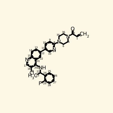 C=CC(=O)N1CCN(c2ccc(-c3ccc4ncc(Cl)c(NC(C)c5ccccc5F)c4c3)cn2)CC1